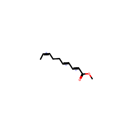 C/C=C\CC/C=C/C=C/C(=O)OC